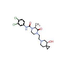 C[C@H]1C(=O)N(CCN2CCC3(CC3)[C@H](O)C2)CCN1C(=O)Nc1ccc(Cl)c(Cl)c1